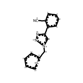 N#Cc1ccccc1-c1cn(Cc2ccccc2)nn1